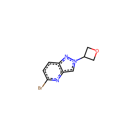 Brc1ccc2nn(C3COC3)cc2n1